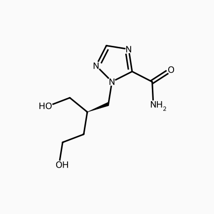 NC(=O)c1ncnn1C[C@H](CO)CCO